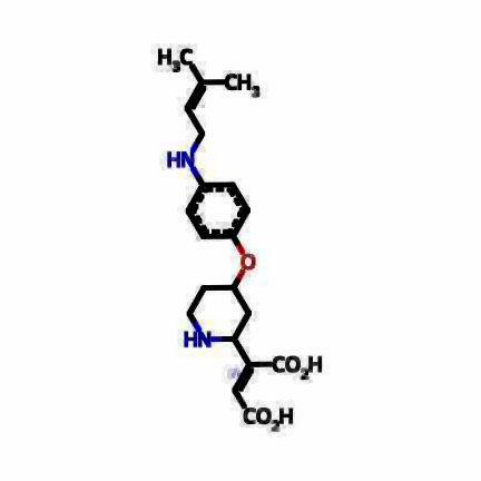 CC(C)=CCNc1ccc(OC2CCNC(/C(=C/C(=O)O)C(=O)O)C2)cc1